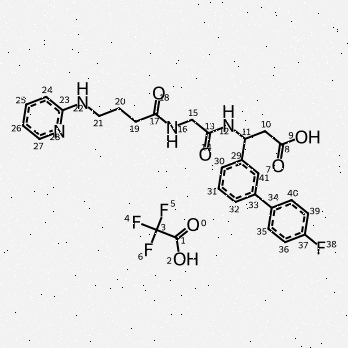 O=C(O)C(F)(F)F.O=C(O)CC(NC(=O)CNC(=O)CCCNc1ccccn1)c1cccc(-c2ccc(F)cc2)c1